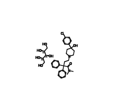 CN(C)C(=O)C(CCN1CCC(O)(c2ccc(Cl)cc2)CC1)(c1ccccc1)c1ccccc1.OC[C@@H](O)[C@H](O)[C@@H](O)CO